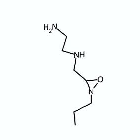 CCCN1OC1CNCCN